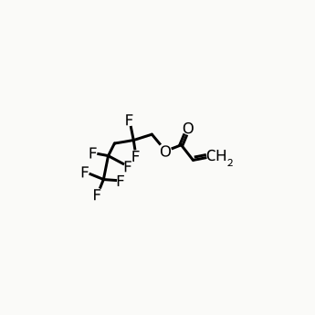 C=CC(=O)OCC(F)(F)CC(F)(F)C(F)(F)F